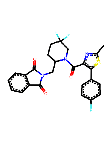 Cc1nc(C(=O)N2CC(F)(F)CCC2CN2C(=O)c3ccccc3C2=O)c(-c2ccc(F)cc2)s1